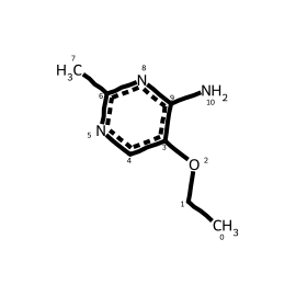 CCOc1cnc(C)nc1N